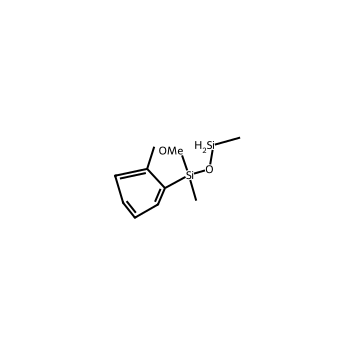 CO[Si](C)(O[SiH2]C)c1ccccc1C